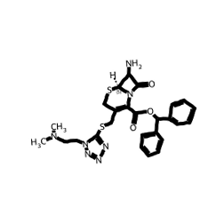 CN(C)CCn1nnnc1SCC1=C(C(=O)OC(c2ccccc2)c2ccccc2)N2C(=O)C(N)[C@@H]2SC1